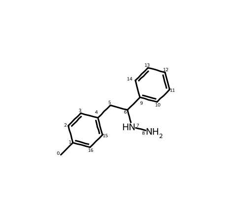 Cc1ccc(CC(NN)c2ccccc2)cc1